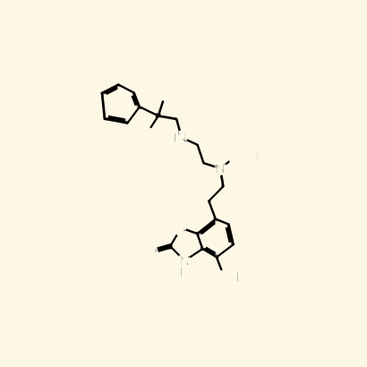 CC(C)(CNCCN(CCc1ccc(O)c2[nH]c(=O)sc12)C(=O)O)c1ccccc1